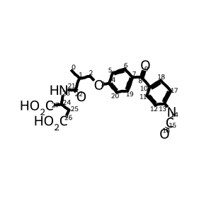 CC(COc1ccc(C(=O)c2ccc(N=C=O)cc2)cc1)C(=O)NC(CC(=O)O)C(=O)O